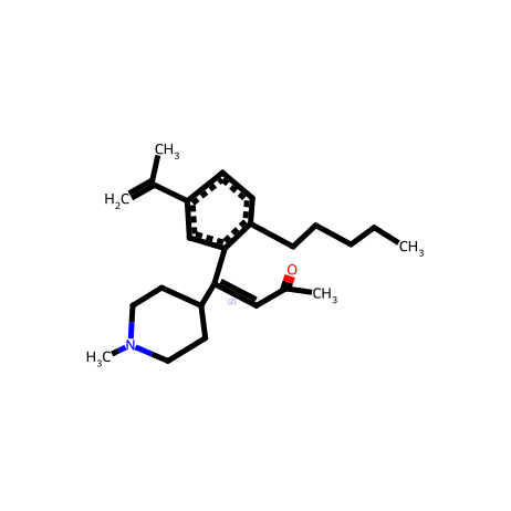 C=C(C)c1ccc(CCCCC)c(/C(=C\C(C)=O)C2CCN(C)CC2)c1